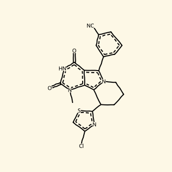 Cn1c(=O)[nH]c(=O)c2c(-c3cccc(C#N)c3)n3c(c21)C(c1nc(Cl)cs1)CCC3